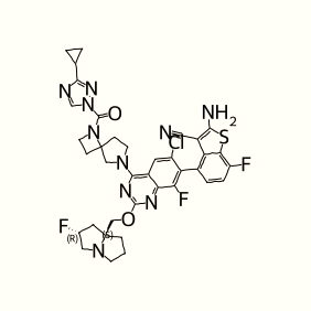 N#Cc1c(N)sc2c(F)ccc(-c3c(Cl)cc4c(N5CCC6(CCN6C(=O)n6cnc(C7CC7)n6)C5)nc(OC[C@@]56CCCN5C[C@H](F)C6)nc4c3F)c12